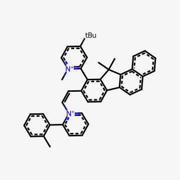 Cc1ccccc1-c1cccc[n+]1/C=C\c1ccc2c(c1-c1cc(C(C)(C)C)cc[n+]1C)C(C)(C)c1c-2ccc2ccccc12